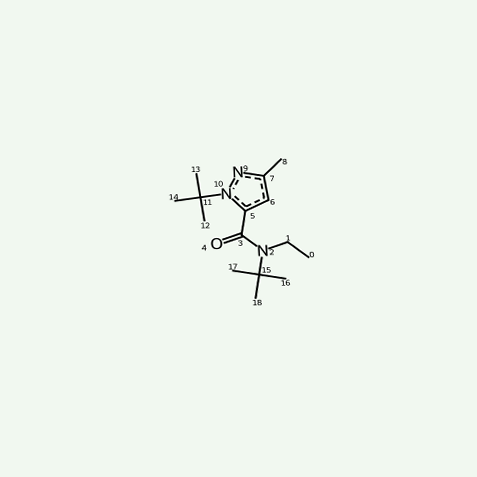 CCN(C(=O)c1cc(C)nn1C(C)(C)C)C(C)(C)C